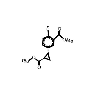 COC(=O)c1cc([C@@H]2C[C@H]2C(=O)OC(C)(C)C)ccc1F